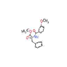 COC(=O)[C@H](Cc1ccccc1)NC(=O)c1cccc(OC)c1